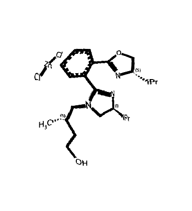 CC(C)[C@H]1COC(c2ccccc2C2=N[C@@H](C(C)C)CN2C[C@@H](C)CCO)=N1.[Cl][Zn][Cl]